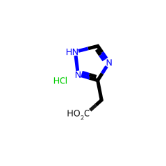 Cl.O=C(O)Cc1nc[nH]n1